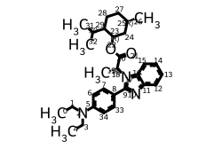 CCN(CC)c1ccc(-c2nc3ccccc3n2[C@H](C)C(=O)O[C@@H]2C[C@H](C)CCC2C(C)C)cc1